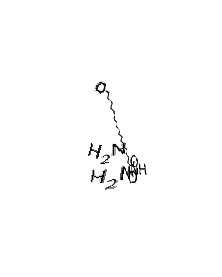 NC(CCCCCCCCCCCCCc1ccccc1)CCCCC1C(=O)NC(=O)C1N